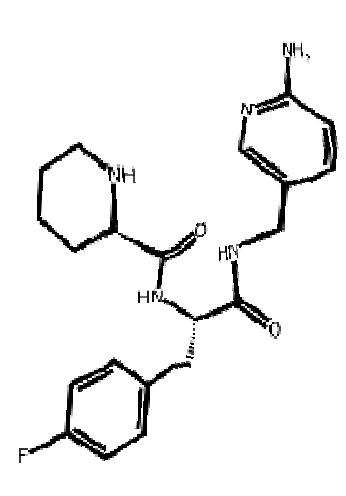 Nc1ccc(CNC(=O)[C@H](Cc2ccc(F)cc2)NC(=O)[C@H]2CCCCN2)cn1